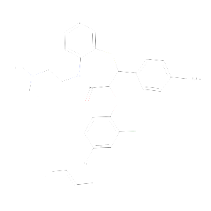 COc1ccc(C2Sc3ccccc3N(CCN(C)C)C(=O)C2Oc2ccc([N+](=O)[O-])cc2Cl)cc1.O=C(O)C=CC(=O)O